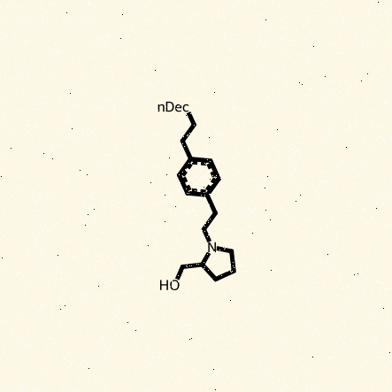 CCCCCCCCCCCCc1ccc(CCN2CCCC2CO)cc1